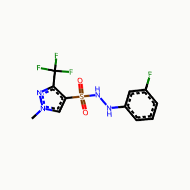 Cn1cc(S(=O)(=O)NNc2cccc(F)c2)c(C(F)(F)F)n1